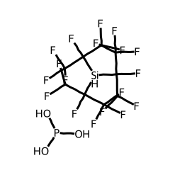 FC(F)C(F)([SiH](C(F)(C(F)F)C(F)(F)F)C(F)(C(F)F)C(F)(F)F)C(F)(F)F.OP(O)O